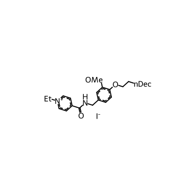 CCCCCCCCCCCCOc1ccc(CNC(=O)c2cc[n+](CC)cc2)cc1OC.[I-]